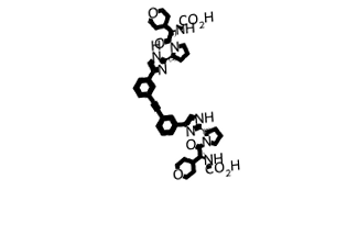 O=C(O)N[C@H](C(=O)N1CCC[C@H]1c1nc(-c2cccc(C#Cc3cccc(-c4c[nH]c([C@@H]5CCCN5C(=O)[C@@H](NC(=O)O)C5CCOCC5)n4)c3)c2)c[nH]1)C1CCOCC1